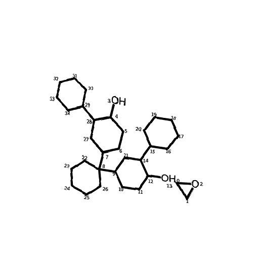 C1CO1.OC1CCC(C2(C3CCC(O)C(C4CCCCC4)C3)CCCCC2)CC1C1CCCCC1